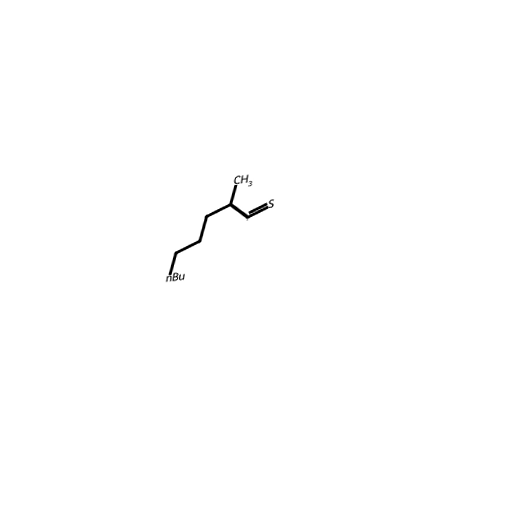 CCCCCCCC(C)[C]=S